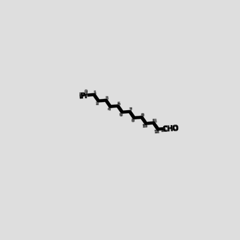 CC(C)CCCCCCCCCCCCC=O